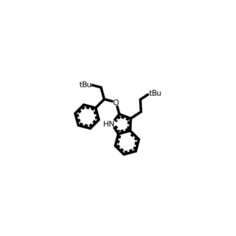 CC(C)(C)CCc1c(OC(CC(C)(C)C)c2ccccc2)[nH]c2ccccc12